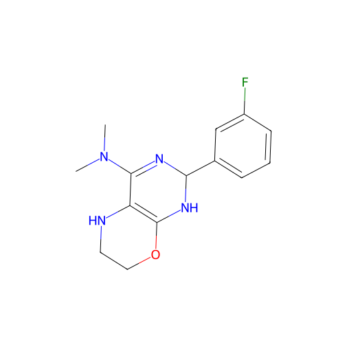 CN(C)C1=NC(c2cccc(F)c2)NC2=C1NCCO2